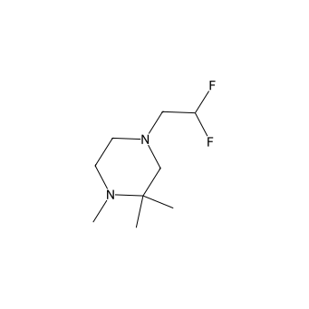 CN1CCN(CC(F)F)CC1(C)C